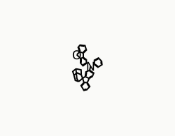 c1ccc(N(c2ccc3c(c2)C2(c4ccccc4-3)C3CC4CC(C3)CC2C4)c2ccc3oc4ccccc4c3c2)cc1